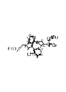 CCOC(=O)Cn1cc(-c2ccccc2Cl)c2c(N3CC(NC(=O)OC(C)(C)C)C3)ncnc21